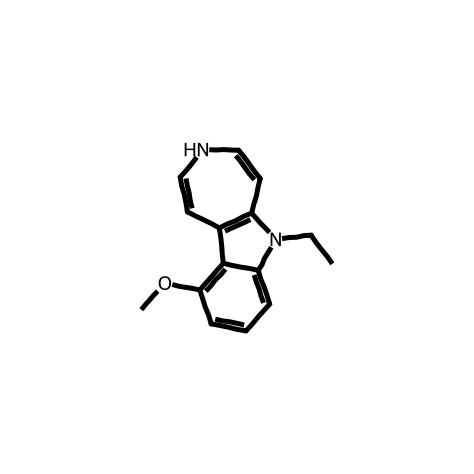 CCn1c2c(c3c(OC)cccc31)C=CNC=C2